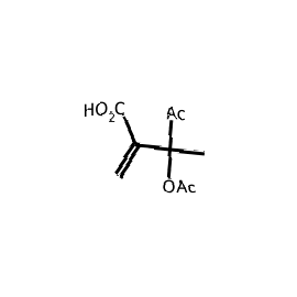 C=C(C(=O)O)C(C)(OC(C)=O)C(C)=O